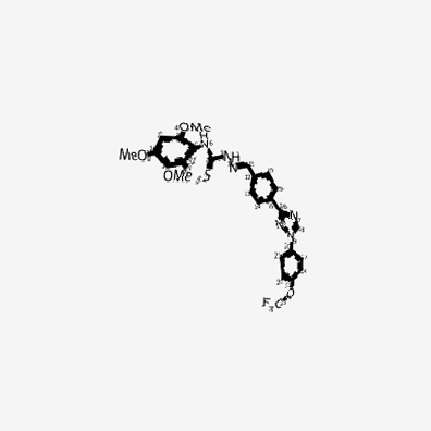 COc1cc(OC)c(NC(=S)N/N=C/c2ccc(-c3ncn(-c4ccc(OC(F)(F)F)cc4)n3)cc2)c(OC)c1